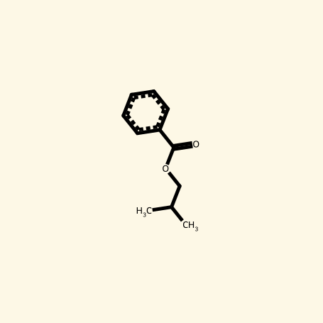 C[C](C)COC(=O)c1ccccc1